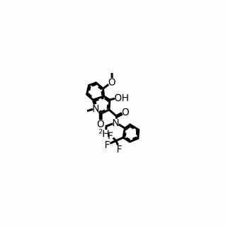 [2H]CN(C(=O)c1c(O)c2c(OC)cccc2n(C)c1=O)c1ccccc1C(F)(F)F